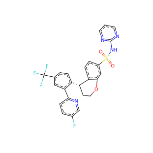 O=S(=O)(Nc1ncccn1)c1ccc2c(c1)OCC[C@@H]2c1ccc(C(F)(F)F)cc1-c1ccc(F)cn1